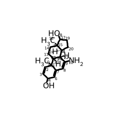 C[C@]12C=CC(O)C=C1C=C(N)[C@@H]1[C@H]2CC[C@]2(C)C(O)CC[C@@H]12